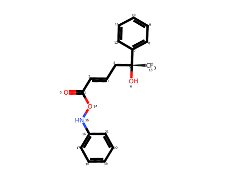 O=C(C=CC[C@@](O)(c1ccccc1)C(F)(F)F)ONc1ccccc1